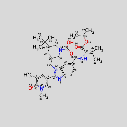 Cc1cc(-c2nc3ccc(CN[C@H](C(=O)OC(C)C)C(C)C)cc3n2CC2CC(C(C)(C)C)CN(C(=O)O)C2)cn(C)c1=O